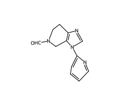 O=CN1CCc2ncn(-c3ccccn3)c2C1